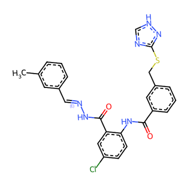 Cc1cccc(/C=N/NC(=O)c2cc(Cl)ccc2NC(=O)c2cccc(CSc3nc[nH]n3)c2)c1